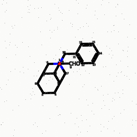 O=CCC1C2CCCC1CN(Cc1ccccc1)C2